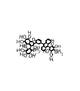 Bc1c(O)c(O)c(-c2c3ccccc3c(-c3ccc4oc5c6c(O)c(O)c(O)c7c6c(c(O)c5c4c3)-c3c(B)c(O)c(O)c(O)c3B7)c3ccccc23)c(O)c1O